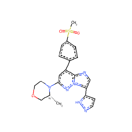 C[C@@H]1COCCN1c1cc(-c2ccc(S(C)(=O)=O)cc2)c2ncc(-c3ccn[nH]3)n2n1